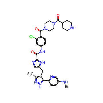 CCNc1ccc(-c2[nH]nc(C(F)(F)F)c2Cc2cnc(C(=O)Nc3ccc(C(=O)N4CCN(C(=O)C5CCNCC5)CC4)c(Cl)c3)[nH]2)nc1